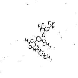 COc1cc(C(C)=C2SC(N3CCN(C)CC3)=NC2=O)ccc1OCc1ccc(C(F)(F)F)cc1C(F)(F)F